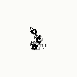 CN(C)c1ccc(-c2nc3c(N[C@H]4[C@@H](C(=O)O)[C@@H]5C=C[C@H]4C5)ccnc3[nH]2)cc1